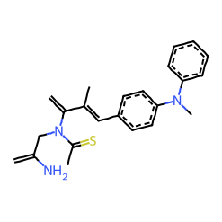 C=C(N)CN(C(=C)/C(C)=C/c1ccc(N(C)c2ccccc2)cc1)C(C)=S